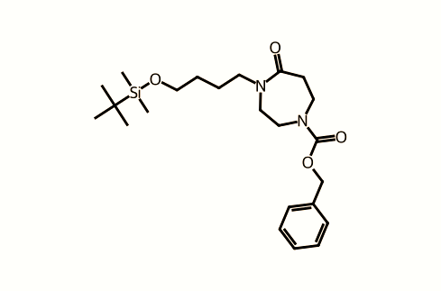 CC(C)(C)[Si](C)(C)OCCCCN1CCN(C(=O)OCc2ccccc2)CCC1=O